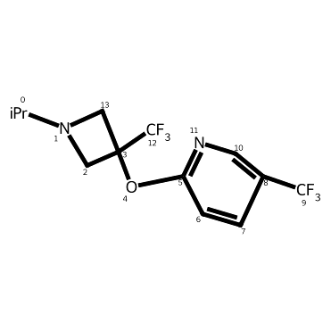 CC(C)N1CC(Oc2ccc(C(F)(F)F)cn2)(C(F)(F)F)C1